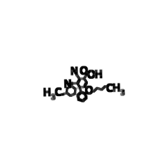 CCCCCOc1ccccc1C1([C@H]2CC[C@H](CC)CC2)C=CC(C(=O)O)C(C#N)=C1C#N